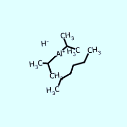 CCCCCC.C[CH](C)[Al+][CH](C)C.[H-]